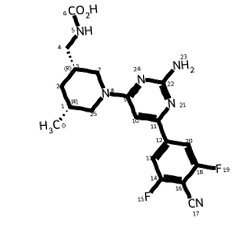 C[C@@H]1C[C@H](CNC(=O)O)CN(c2cc(-c3cc(F)c(C#N)c(F)c3)nc(N)n2)C1